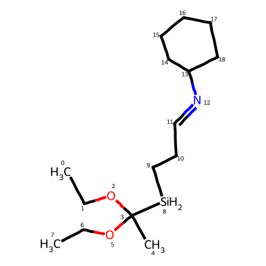 CCOC(C)(OCC)[SiH2]CCC=NC1CCCCC1